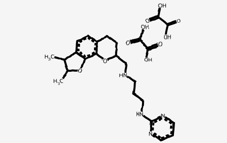 CC1Oc2c(ccc3c2OC(CNCCCNc2ncccn2)CC3)C1C.O=C(O)C(=O)O.O=C(O)C(=O)O